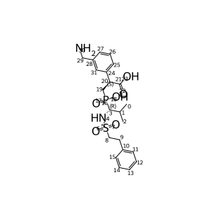 CC(C)[C@H](NS(=O)(=O)CCc1ccccc1)P(=O)(O)C[C@H](C(=O)O)c1cccc(CN)c1